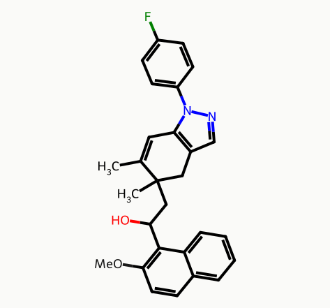 COc1ccc2ccccc2c1C(O)CC1(C)Cc2cnn(-c3ccc(F)cc3)c2C=C1C